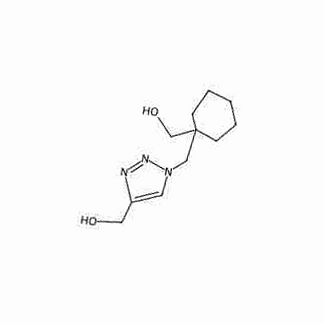 OCc1cn(CC2(CO)CCCCC2)nn1